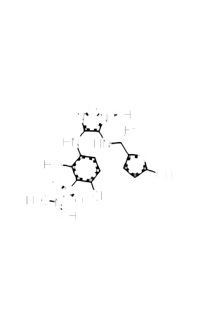 CC[C@@H](Nc1c(Nc2ccc(Cl)c(S(=O)(=O)N(C)C)c2O)no[n+]1O)c1ccc(C)o1